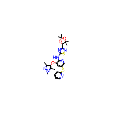 Cc1nn(C)c(C)c1Oc1cc(Sc2ccccn2)cnc1Nc1nc(C2OC(C)(C)OC2(C)C)ns1